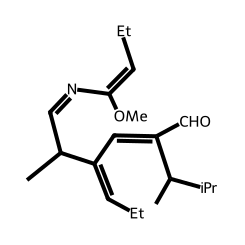 CC/C=C(\N=C/C(C)C(=C/CC)/C=C(/C=O)C(C)C(C)C)OC